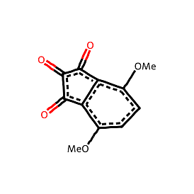 COc1ccc(OC)c2c(=O)c(=O)c(=O)c12